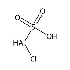 O=[S](=O)(O)[AlH][Cl]